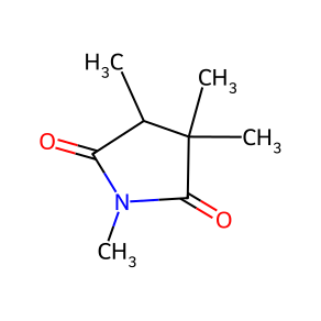 CC1C(=O)N(C)C(=O)C1(C)C